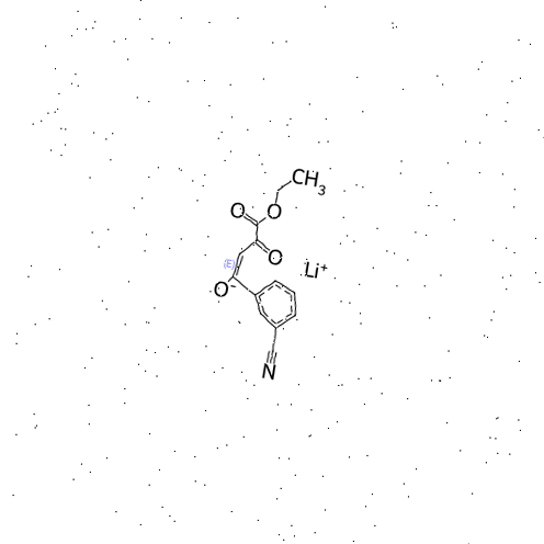 CCOC(=O)C(=O)/C=C(/[O-])c1cccc(C#N)c1.[Li+]